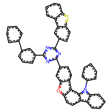 c1ccc(-c2cccc(-c3nc(-c4ccc5c(c4)oc4ccc6c7ccccc7n(-c7ccccc7)c6c45)nc(-c4ccc5sc6ccccc6c5c4)n3)c2)cc1